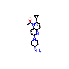 CC(=O)N1c2ccc(N3CCC(N)CC3)nc2C=C[C@@H]1C1CC1